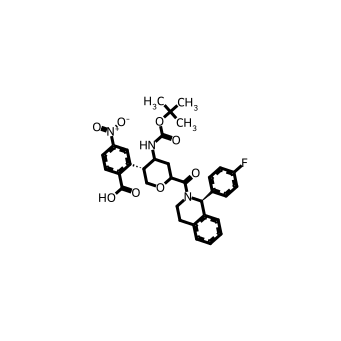 CC(C)(C)OC(=O)NC1CC(C(=O)N2CCc3ccccc3[C@@H]2c2ccc(F)cc2)OC[C@@H]1c1cc([N+](=O)[O-])ccc1C(=O)O